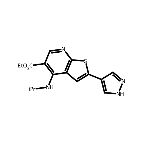 CCOC(=O)c1cnc2sc(-c3cn[nH]c3)cc2c1NC(C)C